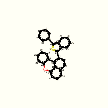 c1ccc(-c2sc(-c3ccc4cccc5c4c3-c3ccccc3O5)c3ccccc23)cc1